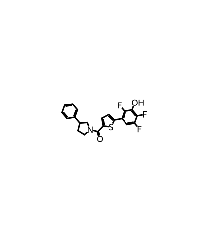 O=C(c1ccc(-c2cc(F)c(F)c(O)c2F)s1)N1CCC(c2ccccc2)C1